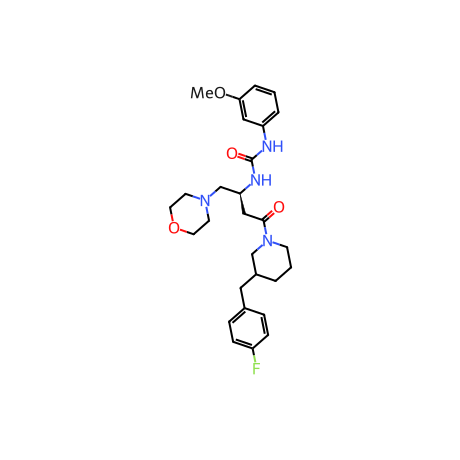 COc1cccc(NC(=O)N[C@@H](CC(=O)N2CCCC(Cc3ccc(F)cc3)C2)CN2CCOCC2)c1